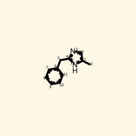 Cc1[c]nc(Cc2ccccc2)[nH]1